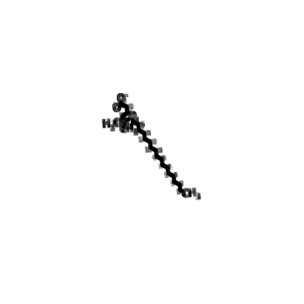 CCCCCCCCCCCCCCCCCCOC(CC(=O)[O-])C[N+](C)(C)C